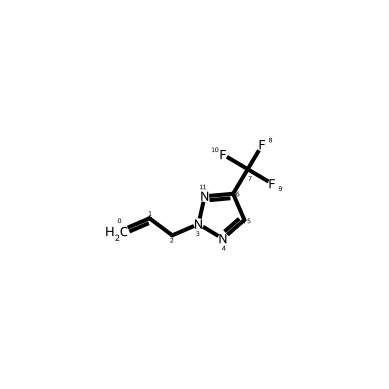 C=CCn1n[c]c(C(F)(F)F)n1